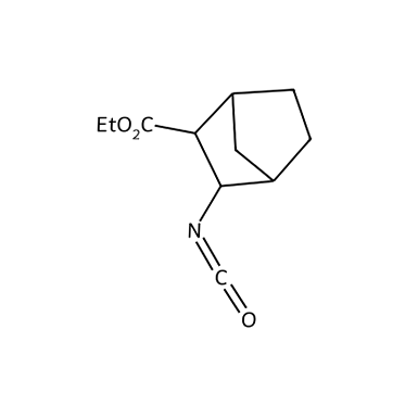 CCOC(=O)C1C2CCC(C2)C1N=C=O